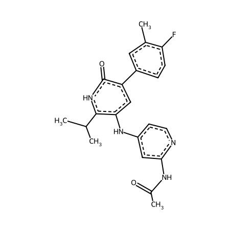 CC(=O)Nc1cc(Nc2cc(-c3ccc(F)c(C)c3)c(=O)[nH]c2C(C)C)ccn1